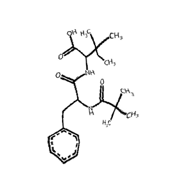 CC(C)(C)C(=O)NC(Cc1ccccc1)C(=O)NC(C(=O)O)C(C)(C)C